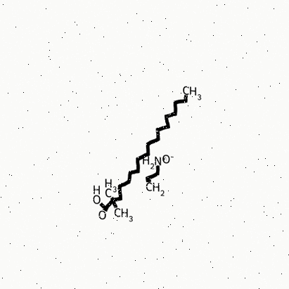 C=CC[NH2+][O-].CCCCCCCCCCCCCCCCC(C)(C)C(=O)O